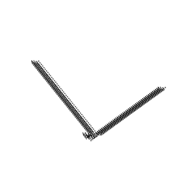 O.O.O.O.O.[Na+].[Na+].[Na+].[Na+].[Na+].[Na+].[Na+].[Na+].[Na+].[Na+].[Na+].[Na+].[Na+].[Na+].[Na+].[Na+].[Na+].[Na+].[Na+].[Na+].[Na+].[Na+].[Na+].[Na+].[Na+].[Na+].[Na+].[Na+].[Na+].[Na+].[Na+].[Na+].[Na+].[Na+].[Na+].[Na+].[Na+].[Na+].[Na+].[Na+].[Na+].[Na+].[Na+].[Na+].[Na+].[Na+].[Na+].[Na+].[Na+].[Na+].[Na+].[Na+].[Na+].[Na+].[Na+].[Na+].[Na+].[Na+].[Na+].[Na+].[Na+].[Na+].[Na+].[Na+].[Na+].[Na+].[Na+].[Na+].[Na+].[Na+].[Na+].[Na+].[Na+].[Na+].[Na+].[Na+].[Na+].[Na+].[Na+].[Na+].[Na+].[Na+].[Na+].[Na+].[Na+].[Na+].[Na+].[Na+].[Na+]